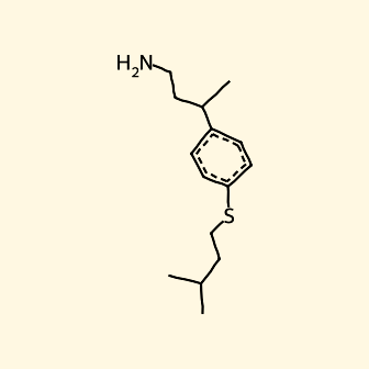 CC(C)CCSc1ccc(C(C)CCN)cc1